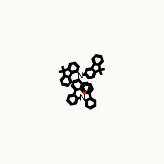 CC1(C)c2ccccc2-c2cc(N(c3cccc4c3-c3ccccc3C4(C)C)c3ccc(-c4ccccc4-n4c5ccccc5c5ccccc54)c4ccccc34)ccc21